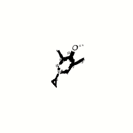 Cc1cn(C2CC2)nc(C)c1=O